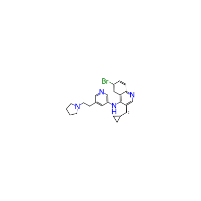 Brc1ccc2ncc([C]C3CC3)c(Nc3cncc(CCN4CCCC4)c3)c2c1